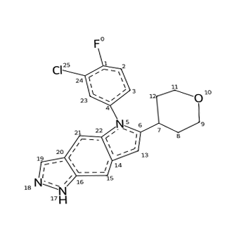 Fc1ccc(-n2c(C3CCOCC3)cc3cc4[nH]ncc4cc32)cc1Cl